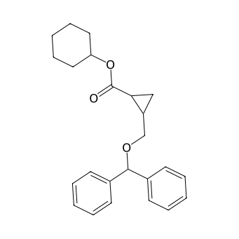 O=C(OC1CCCCC1)C1CC1COC(c1ccccc1)c1ccccc1